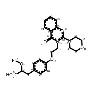 CCOC(Cc1ccc(OCCn2c(N3CCOCC3)nc3ccccc3c2=O)cc1)C(=O)O